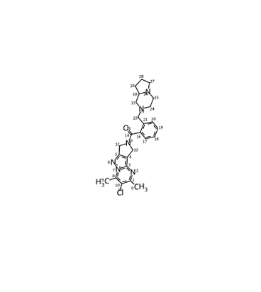 Cc1nc2c3c(nn2c(C)c1Cl)CN(C(=O)c1ccccc1CN1CCN2CCCC2C1)C3